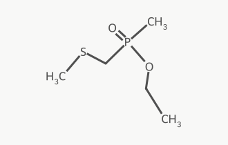 CCOP(C)(=O)CSC